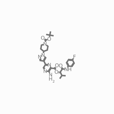 CC(C)[C@@H](OC(=O)c1nc(-c2cnn(C3CCN(C(=O)OC(C)(C)C)CC3)c2)cnc1N)C(=O)Nc1ccc(F)cc1